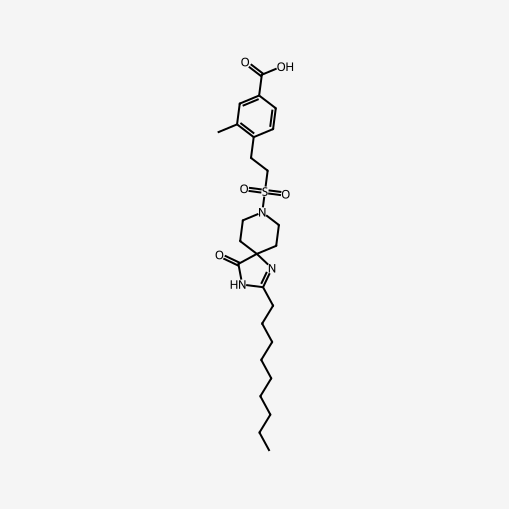 CCCCCCCCCC1=NC2(CCN(S(=O)(=O)CCc3ccc(C(=O)O)cc3C)CC2)C(=O)N1